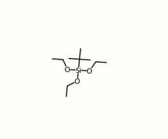 CCO[Si](OCC)(OCC)C(C)(C)C